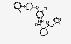 Cc1ccccc1N1CCC(Oc2ccc(NC(=O)[C@H]3CCCCN3C(=O)Cn3ccnn3)cc2Cl)CC1